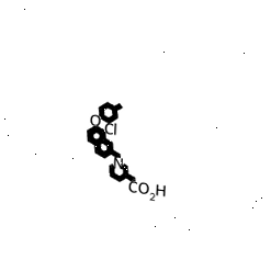 CC1CCC(Oc2ccc3ccc(CN4CCCC(CC(=O)O)C4)cc3c2Cl)CC1